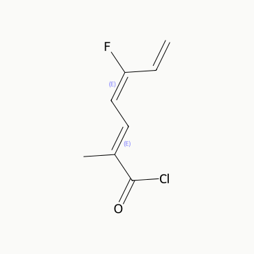 C=C/C(F)=C\C=C(/C)C(=O)Cl